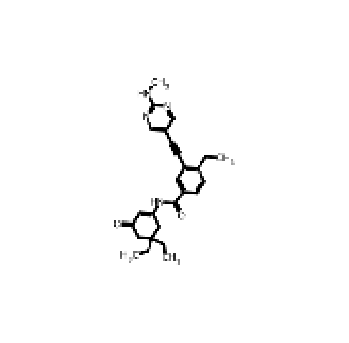 CCc1ccc(C(=O)NC2=CC(=O)CC(CC)(CC)C2)cc1C#Cc1cnc(NC)nc1